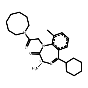 Cc1cccc2c1N(CC(=O)N1CCCCCCC1)C(=O)[C@@H](N)N=C2C1CCCCC1